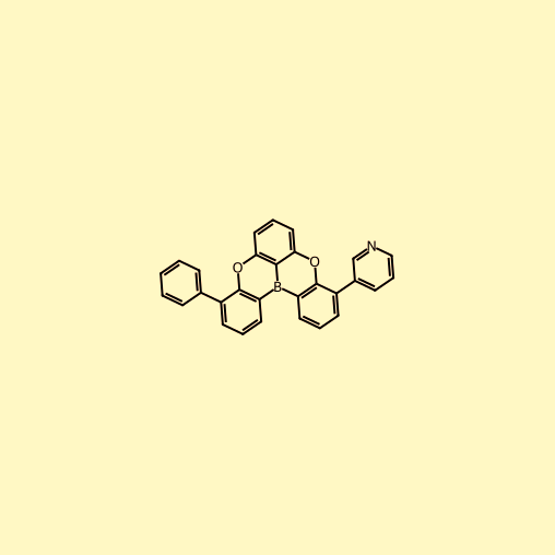 c1ccc(-c2cccc3c2Oc2cccc4c2B3c2cccc(-c3cccnc3)c2O4)cc1